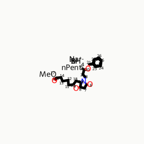 CCCCCC(CCN1C(=O)CC2OC(CCCCC(=O)OC)CC21)OCc1ccccc1.[BH4-].[Na+]